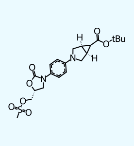 CC(C)(C)OC(=O)C1[C@H]2CN(c3ccc(N4C[C@H](COS(C)(=O)=O)OC4=O)cc3)C[C@@H]12